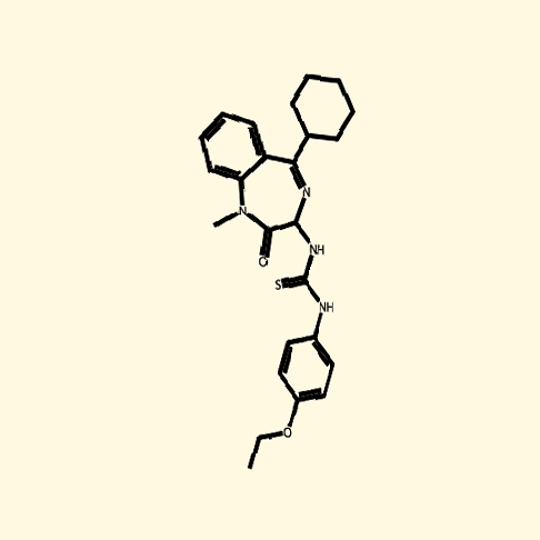 CCOc1ccc(NC(=S)NC2N=C(C3CCCCC3)c3ccccc3N(C)C2=O)cc1